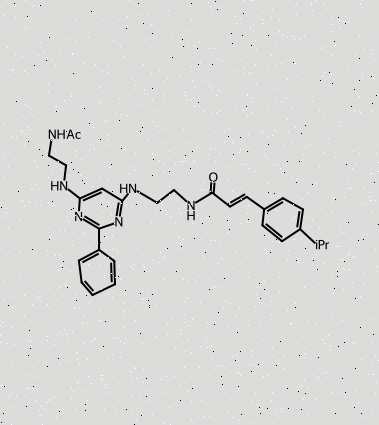 CC(=O)NCCNc1cc(NCCNC(=O)C=Cc2ccc(C(C)C)cc2)nc(-c2ccccc2)n1